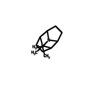 CC(C)N1C2CCC1C1CCC2N1C